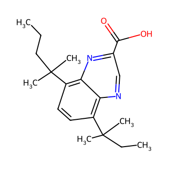 CCCC(C)(C)c1ccc(C(C)(C)CC)c2ncc(C(=O)O)nc12